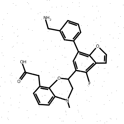 CN1CC(c2cc(-c3cccc(CN)c3)c3occc3c2F)Oc2c(CC(=O)O)cccc21